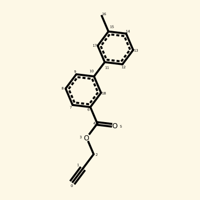 C#CCOC(=O)c1cccc(-c2cccc(C)c2)c1